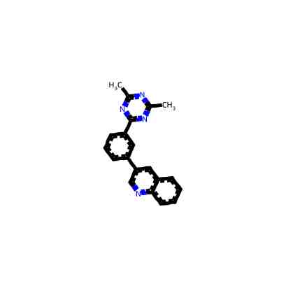 Cc1nc(C)nc(-c2cccc(-c3cnc4ccccc4c3)c2)n1